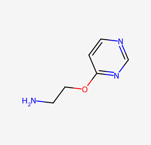 NCCOc1ccncn1